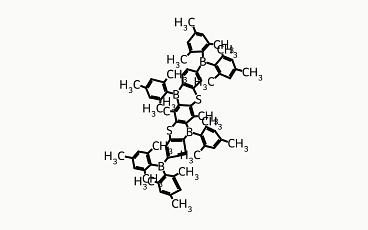 Cc1cc(C)c(B(c2ccc3c(c2)Sc2c(C)c4c(c(C)c2B3c2c(C)cc(C)cc2C)Sc2cc(B(c3c(C)cc(C)cc3C)c3c(C)cc(C)cc3C)ccc2B4c2c(C)cc(C)cc2C)c2c(C)cc(C)cc2C)c(C)c1